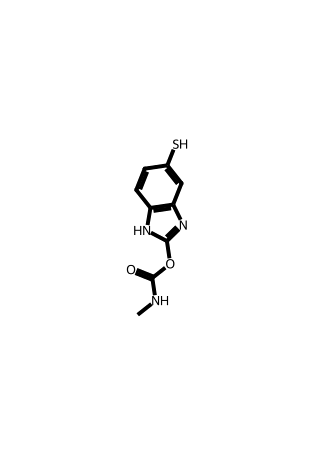 CNC(=O)Oc1nc2cc(S)ccc2[nH]1